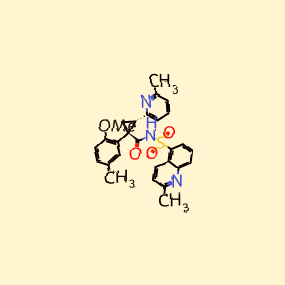 COc1ccc(C)cc1[C@]1(C(=O)NS(=O)(=O)c2cccc3nc(C)ccc23)C[C@@H]1c1cccc(C)n1